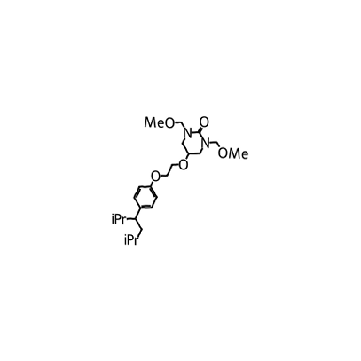 COCN1CC(OCCOc2ccc(C(CC(C)C)C(C)C)cc2)CN(COC)C1=O